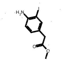 COC(=O)Cc1ccc(N)c(I)c1